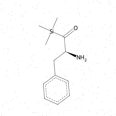 C[Si](C)(C)C(=O)[C@@H](N)Cc1ccccc1